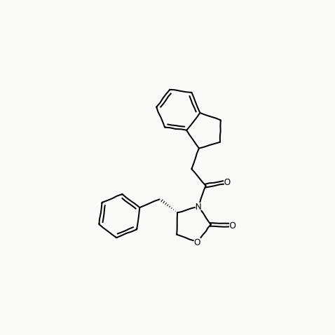 O=C(CC1CCc2ccccc21)N1C(=O)OC[C@@H]1Cc1ccccc1